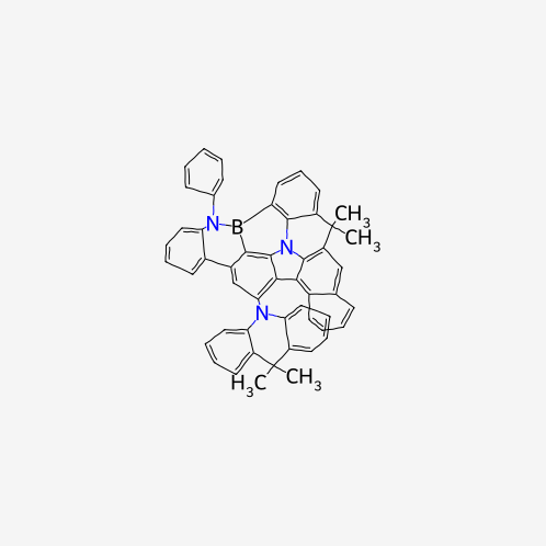 CC1(C)c2ccccc2N(c2cc3c4c5c2c2c6ccccc6cc6c2n5-c2c(cccc2C6(C)C)B4N(c2ccccc2)c2ccccc2-3)c2ccccc21